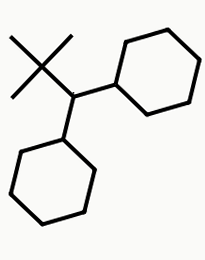 CC(C)(C)[C](C1CCCCC1)C1CCCCC1